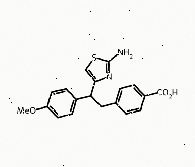 COc1ccc(C(Cc2ccc(C(=O)O)cc2)c2csc(N)n2)cc1